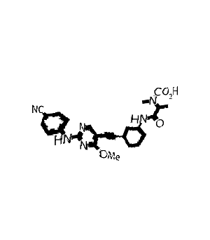 COc1nc(Nc2ccc(C#N)cc2)ncc1C#C[C@@H]1CCC[C@H](NC(=O)C(C)N(C)C(=O)O)C1